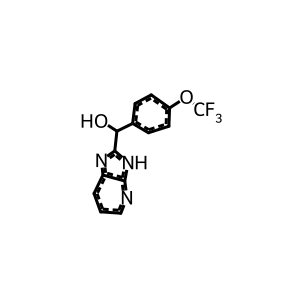 OC(c1ccc(OC(F)(F)F)cc1)c1nc2cccnc2[nH]1